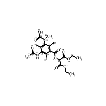 CCOC(=O)C(OC(=O)c1c(I)c(NC(C)=O)c(I)c(N(C)C(C)=O)c1I)C(=O)OCC